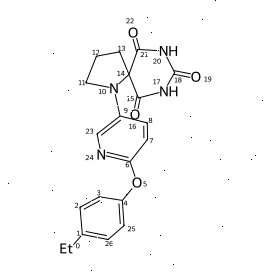 CCc1ccc(Oc2ccc(N3CCCC34C(=O)NC(=O)NC4=O)cn2)cc1